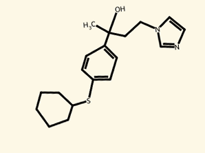 CC(O)(CCn1ccnc1)c1ccc(SC2CCCCC2)cc1